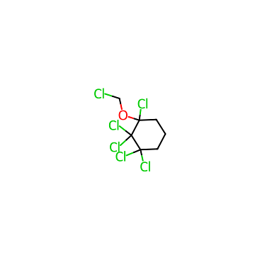 ClCOC1(Cl)CCCC(Cl)(Cl)C1(Cl)Cl